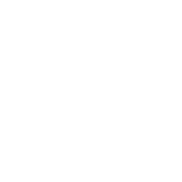 CC(C)(c1ccccc1)c1ccc(OCC(=O)Nc2cccc(C(=O)O)c2)cc1